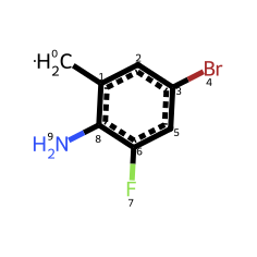 [CH2]c1cc(Br)cc(F)c1N